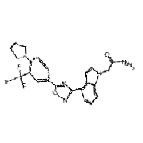 NC(=O)Cn1ccc2c(-c3noc(-c4ccc(C5CCCC5)c(C(F)(F)F)c4)n3)cccc21